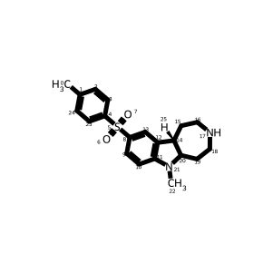 Cc1ccc(S(=O)(=O)c2ccc3c(c2)[C@@H]2CCNCCC2N3C)cc1